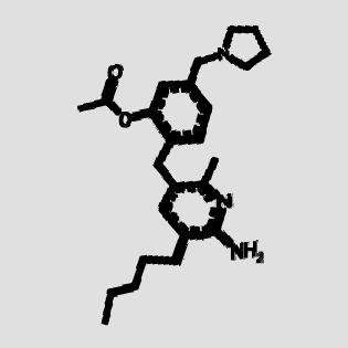 CCCCCc1cc(Cc2ccc(CN3CCCC3)cc2OC(C)=O)c(C)nc1N